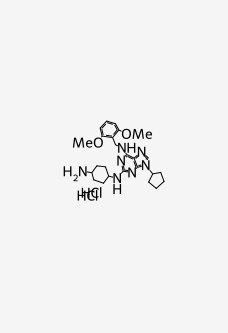 COc1cccc(OC)c1CNc1nc(NC2CCC(N)CC2)nc2c1ncn2C1CCCC1.Cl.Cl